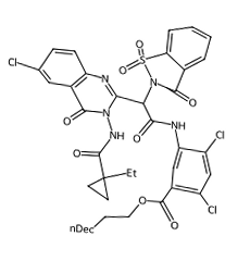 CCCCCCCCCCCCOC(=O)c1cc(NC(=O)C(c2nc3ccc(Cl)cc3c(=O)n2NC(=O)C2(CC)CC2)N2C(=O)c3ccccc3S2(=O)=O)c(Cl)cc1Cl